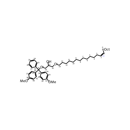 CCCCCCCC/C=C\CCCCCCCCCCCCOCC(O)COC(c1ccccc1)(c1ccc(OC)cc1)c1ccc(OC)cc1